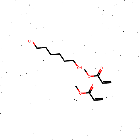 C=CC(=O)OC.C=CC(=O)OC.OCCCCCCO